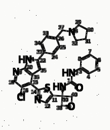 O=C(Nc1ccccc1)NC1(c2cnc(-c3c(Cl)cnc4[nH]c(-c5ccc(CN6CCCC6)cc5)cc34)s2)COC1